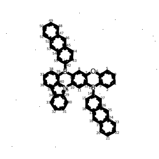 c1ccc2c(c1)Oc1cc3c(cc1B2c1ccc2cc4ccccc4cc2c1)-n1c2ccccc2c2cccc(c21)B3c1ccc2cc3ccccc3cc2c1